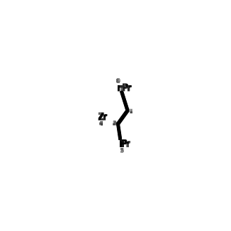 [CH2]CCCCC(C)C.[Zr]